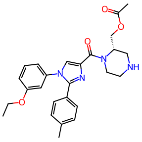 CCOc1cccc(-n2cc(C(=O)N3CCNC[C@H]3COC(C)=O)nc2-c2ccc(C)cc2)c1